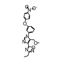 CCc1noc(-c2ncn(-c3cccc(Oc4ccc([N+](=O)[O-])cc4)c3)c2COC)n1